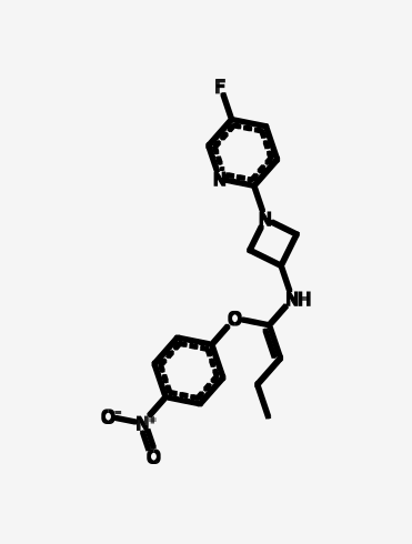 CC/C=C(/NC1CN(c2ccc(F)cn2)C1)Oc1ccc([N+](=O)[O-])cc1